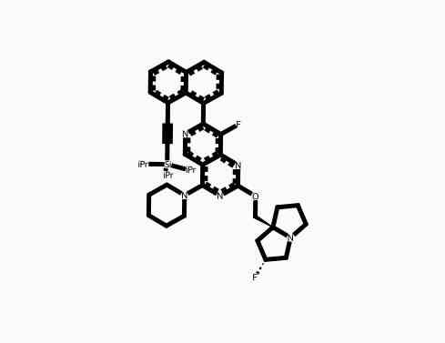 CC(C)[Si](C#Cc1cccc2cccc(-c3ncc4c(N5CCCCC5)nc(OC[C@@]56CCCN5C[C@H](F)C6)nc4c3F)c12)(C(C)C)C(C)C